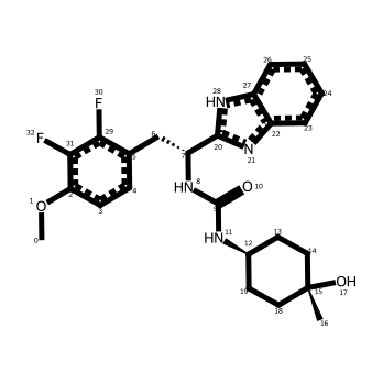 COc1ccc(C[C@@H](NC(=O)N[C@H]2CC[C@](C)(O)CC2)c2nc3ccccc3[nH]2)c(F)c1F